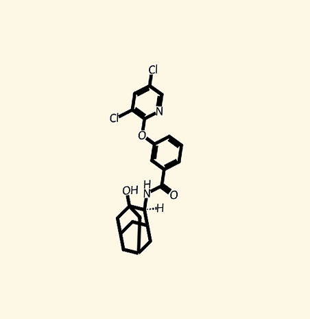 O=C(N[C@H]1C2CC3CC(C2)CC1(O)C3)c1cccc(Oc2ncc(Cl)cc2Cl)c1